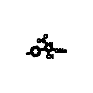 COC1=NS(=S(=O)=O)C(c2ccc(C)cc2)=C1C#N